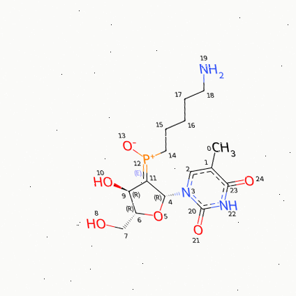 Cc1cn([C@@H]2O[C@H](CO)[C@@H](O)/C2=[P+](\[O-])CCCCCN)c(=O)[nH]c1=O